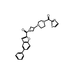 O=C(c1cc2cc(-c3ccccc3)ccc2o1)N1CC(N2CCN(C(=O)c3nccs3)CC2)C1